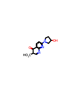 O=C(O)C1C=Nc2nc(N3CCC(O)C3)ccc2C1=O